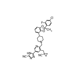 C[C@]1(c2ccc(Cl)cc2F)Oc2cccc(C3CCN(Cc4ncc(-c5nnc(C#N)[nH]5)cc4CC4(C#N)CC4)CC3)c2O1